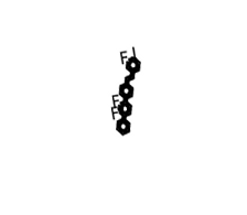 FC1=C(F)C(C2CCC(CCC3CCC(I)C(F)C3)CC2)CCC1C1CCCCC1